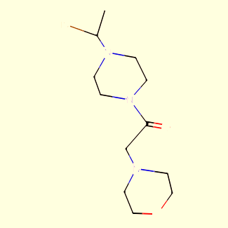 CC(S)N1CCN(C(=O)CN2CCOCC2)CC1